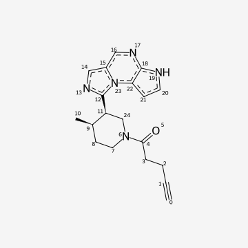 C#CCCC(=O)N1CC[C@@H](C)[C@@H](c2ncc3cnc4[nH]ccc4n23)C1